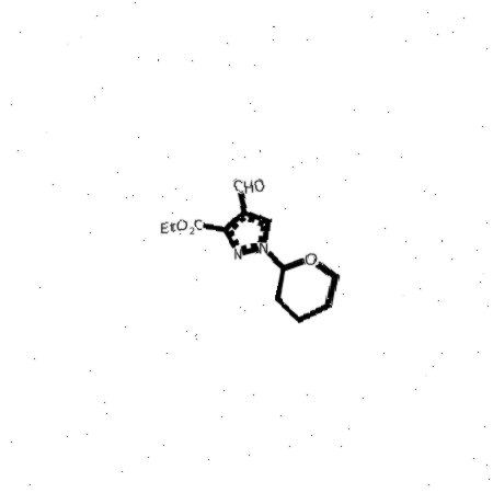 CCOC(=O)c1nn(C2CCCCO2)cc1C=O